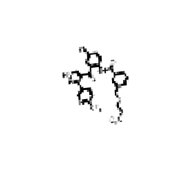 O=C(O)CCSCc1cccc(C(=O)Nc2ccc(Cl)cc2C(=O)c2c[nH]nc2-c2ccc(C(F)(F)F)nc2)c1